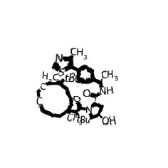 Cc1ncsc1-c1ccc([C@H](C)NC(=O)[C@@H]2C[C@@H](O)CN2C(=O)C(C(C)(C)C)C2(C)CCCCCCCC(C)(C(C)(C)C)CCC2)cc1